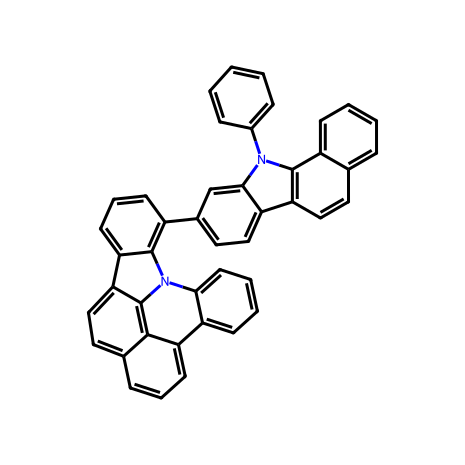 c1ccc(-n2c3cc(-c4cccc5c6ccc7cccc8c9ccccc9n(c45)c6c78)ccc3c3ccc4ccccc4c32)cc1